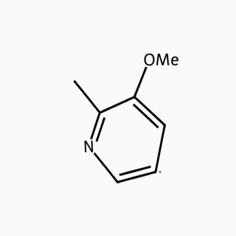 COc1c[c]cnc1C